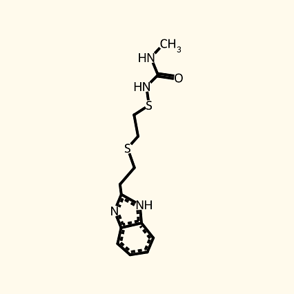 CNC(=O)NSCCSCCc1nc2ccccc2[nH]1